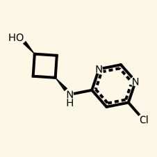 O[C@H]1C[C@@H](Nc2cc(Cl)ncn2)C1